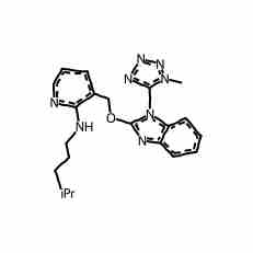 CC(C)CCCNc1ncccc1COc1nc2ccccc2n1-c1nnnn1C